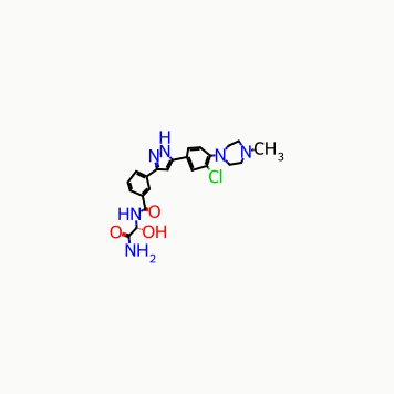 CN1CCN(c2ccc(-c3cc(-c4cccc(C(=O)N[C@H](O)C(N)=O)c4)n[nH]3)cc2Cl)CC1